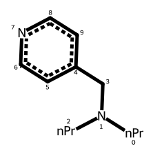 CCCN(CCC)Cc1c[c]ncc1